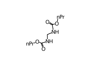 CCCOC(=O)NCNC(=O)OCCC